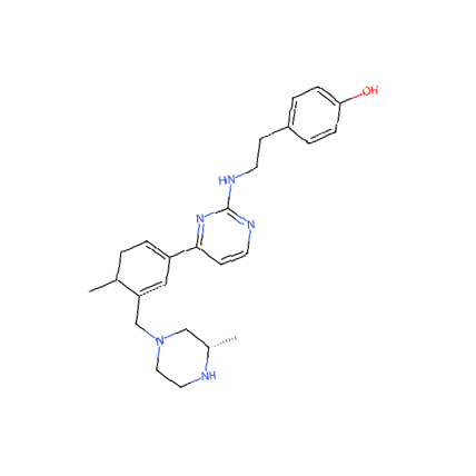 CC1CC=C(c2ccnc(NCCc3ccc(O)cc3)n2)C=C1CN1CCN[C@@H](C)C1